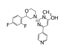 CN1C(O)=CC(c2ccncc2)=N[C@@H]1N1CCOC(c2ccc(F)cc2F)C1